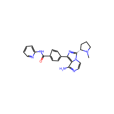 CN1CCC[C@H]1c1nc(-c2ccc(C(=O)Nc3ccccn3)cc2)c2c(N)nccn12